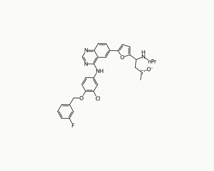 CCCNC(C[S+](C)[O-])c1ccc(-c2ccc3ncnc(Nc4ccc(OCc5cccc(F)c5)c(Cl)c4)c3c2)o1